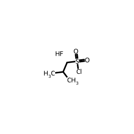 CC(C)CS(=O)(=O)Cl.F